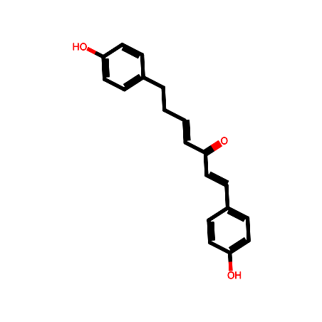 O=C(C=CCCc1ccc(O)cc1)C=Cc1ccc(O)cc1